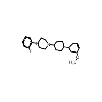 COC1=C[C@@H](C2CCC(N3CCN(c4ccccc4F)CC3)CC2)CC=C1